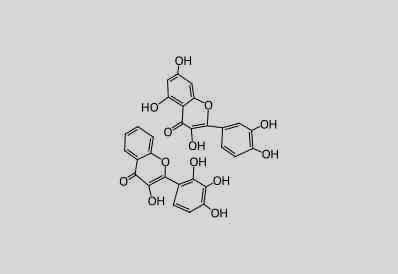 O=c1c(O)c(-c2ccc(O)c(O)c2)oc2cc(O)cc(O)c12.O=c1c(O)c(-c2ccc(O)c(O)c2O)oc2ccccc12